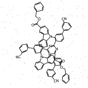 N#Cc1cccc(-c2cccc(-c3nc(-c4ccc(-c5cccc(C#N)c5)cc4-n4c5ccccc5c5cc(C(=O)OCc6ccccc6)ccc54)nc(-c4ccc(-c5cccc(C#N)c5)cc4-n4c5ccccc5c5cc(C(=O)OCc6ccccc6)ccc54)n3)c2)c1